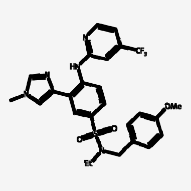 CCN(Cc1ccc(OC)cc1)S(=O)(=O)c1ccc(Nc2cc(C(F)(F)F)ccn2)c(-c2cn(C)cn2)c1